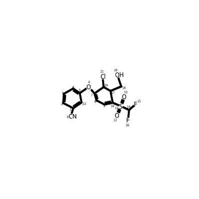 N#Cc1cccc(OC2=CC=C(S(=O)(=O)C(F)F)C(CO)C2Cl)c1